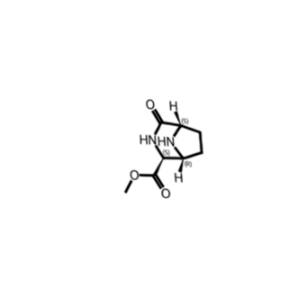 COC(=O)[C@H]1NC(=O)[C@@H]2CC[C@H]1N2